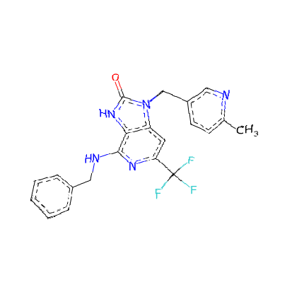 Cc1ccc(Cn2c(=O)[nH]c3c(NCc4ccccc4)nc(C(F)(F)F)cc32)cn1